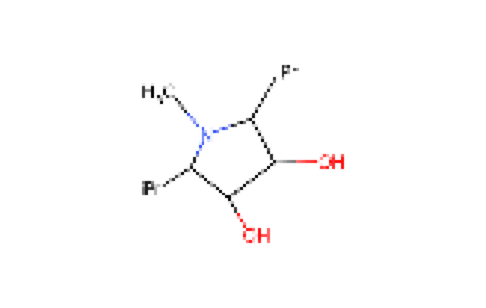 CC(C)C1C(O)C(O)C(C(C)C)N1C